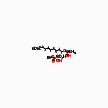 CCCCCCCCCCCCCCCCCCOC(C)O.CCOP(=O)(O)C(=O)O